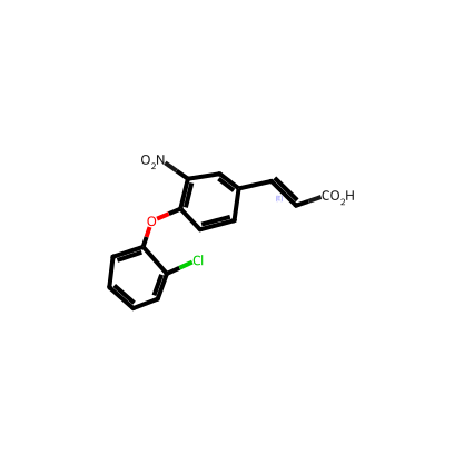 O=C(O)/C=C/c1ccc(Oc2ccccc2Cl)c([N+](=O)[O-])c1